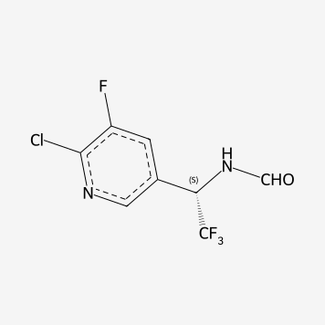 O=CN[C@@H](c1cnc(Cl)c(F)c1)C(F)(F)F